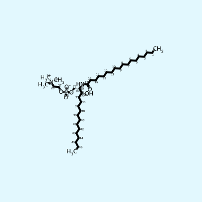 CCCCCCCCCCCCCCCCCC(=O)N[C@@H](COP(=O)([O-])OCC[N+](C)(C)C)[C@H](O)CCCCCCCCCCCCC